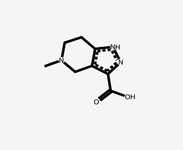 CN1CCc2[nH]nc(C(=O)O)c2C1